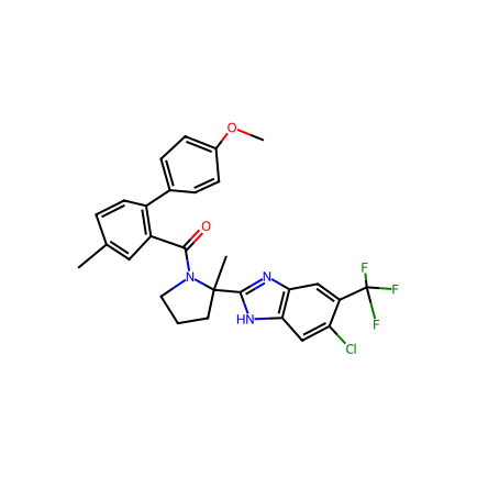 COc1ccc(-c2ccc(C)cc2C(=O)N2CCCC2(C)c2nc3cc(C(F)(F)F)c(Cl)cc3[nH]2)cc1